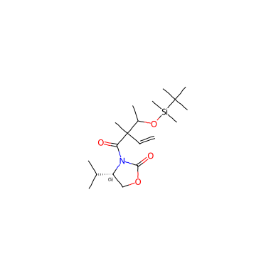 C=CC(C)(C(=O)N1C(=O)OC[C@@H]1C(C)C)C(C)O[Si](C)(C)C(C)(C)C